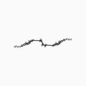 CCCCCC1CCC(C2CCC(C(=O)Oc3ccc(OC(=O)c4ccc(OCCCCCCCCOC(=O)CCC(=O)OCCCOC(=O)OCCCCCCCCOc5ccc(C(=O)Oc6ccc(OC(=O)C7CCC(C8CCC(CCCCC)CC8)CC7)cc6)cc5)cc4)cc3)CC2)CC1